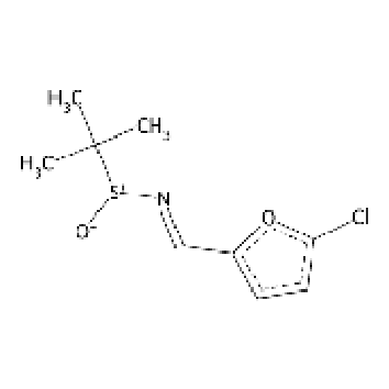 CC(C)(C)[S+]([O-])/N=C/c1ccc(Cl)o1